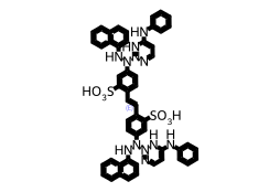 O=S(=O)(O)c1cc(N(Nc2cccc3ccccc23)N2N=CC=C(Nc3ccccc3)N2)ccc1/C=C/c1ccc(N(Nc2cccc3ccccc23)N2N=CC=C(Nc3ccccc3)N2)cc1S(=O)(=O)O